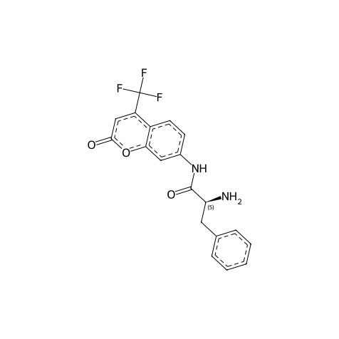 N[C@@H](Cc1ccccc1)C(=O)Nc1ccc2c(C(F)(F)F)cc(=O)oc2c1